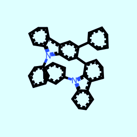 c1ccc(-c2cc3c4ccccc4n(-c4ccccc4)c3cc2-c2cccc3c4ccccc4n(-c4ccccc4)c23)cc1